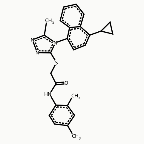 Cc1ccc(NC(=O)CSc2nnc(C)n2-c2ccc(C3CC3)c3ccccc23)c(C)c1